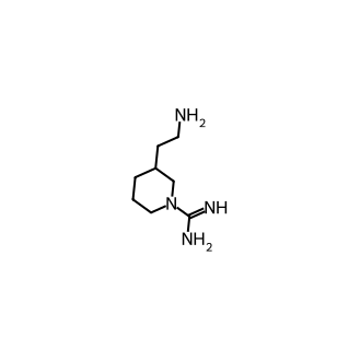 N=C(N)N1CCCC(CCN)C1